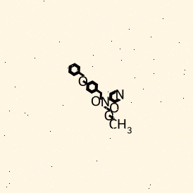 CCOC(=O)CN(C(=O)Cc1ccc(OCc2ccccc2)cc1)c1ccncc1